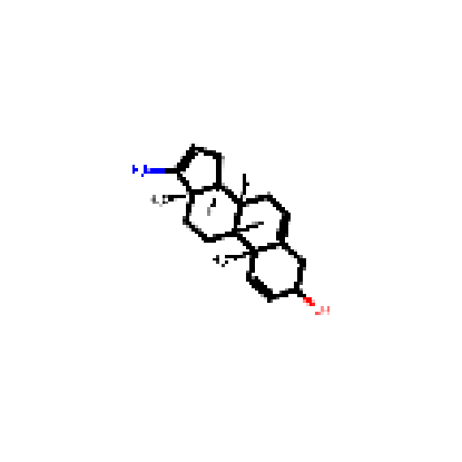 C[C@]12C=CC(O)CC1=CC[C@@H]1[C@H]2CC[C@]2(C)C(N)=CC[C@@H]12